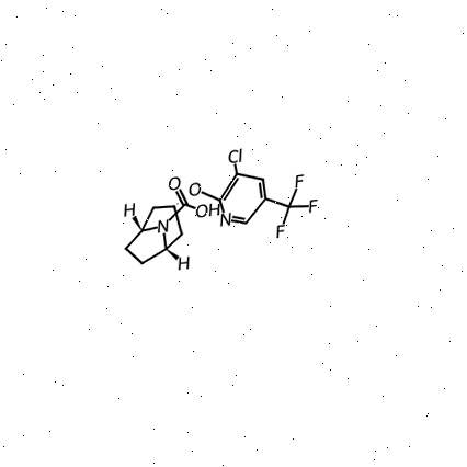 O=C(O)N1[C@@H]2CC[C@H]1C[C@@H](Oc1ncc(C(F)(F)F)cc1Cl)C2